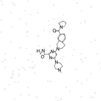 CN1CCN(c2cc(N3CCc4ccc(C(=O)N5CCCC5)cc4C3)nc(C(N)=O)n2)CC1